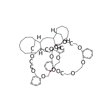 c1ccc2c(c1)OCCOCCOc1ccccc1OCCC1(OCCO2)[C@H]2CCCCC[C@H](C2)C2CCC3[C@@H]4CCCCCCC(CC4)[C@@]4(CCOc5ccccc5OCCOCCOc5ccccc5OCCO4)[C@H]3CCC[C@H]21